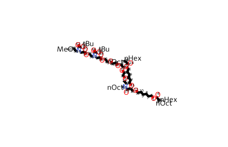 CCCCCCCCC(CCCCCC)C(=O)OCCCCCCOCC(OCCCCCCOC(=O)C(CCCCCC)CCCCCCCC)C(=O)N(CCCCCCCC)CCOCCOCCOCCOCCOC(=O)CN(CCOC(=O)CN(CCOC)C(=O)OC(C)(C)C)C(=O)OC(C)(C)C